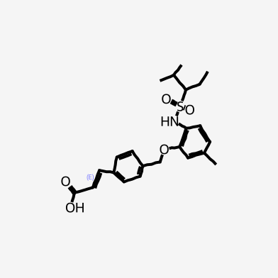 CCC(C(C)C)S(=O)(=O)Nc1ccc(C)cc1OCc1ccc(/C=C/C(=O)O)cc1